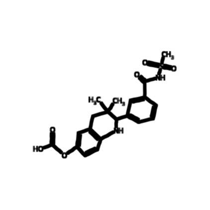 CC1(C)Cc2cc(OC(=O)O)ccc2NC1c1cccc(C(=O)NS(C)(=O)=O)c1